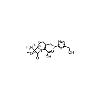 CO[C@@]1(N)C(=O)N2C(C(=O)O)=C(CSc3nnc(CO)s3)CS[C@@H]21